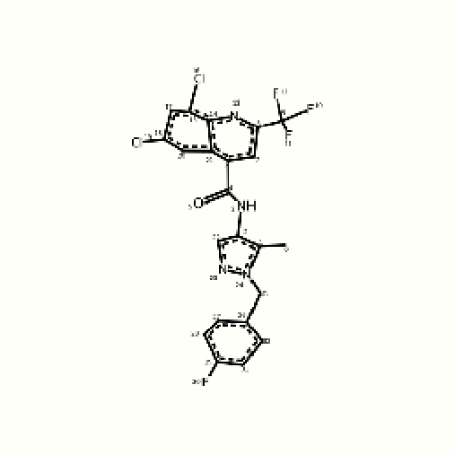 Cc1c(NC(=O)c2cc(C(F)(F)F)nc3c(Cl)cc(Cl)cc23)cnn1Cc1ccc(F)cc1